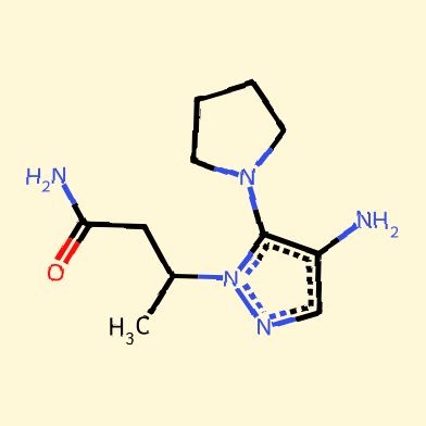 CC(CC(N)=O)n1ncc(N)c1N1CCCC1